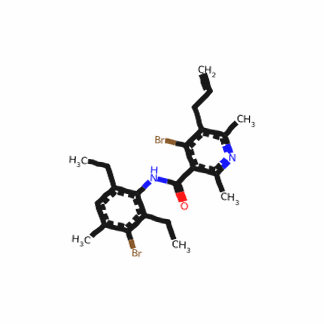 C=CCc1c(C)nc(C)c(C(=O)Nc2c(CC)cc(C)c(Br)c2CC)c1Br